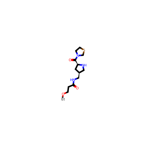 CCOCCC(=O)NC[C@@H]1CN[C@H](C(=O)N2CCSC2)C1